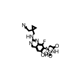 N#CCC1(CNc2ncc3cc(O)c(N4CC(=O)NS4(=O)=O)c(F)c3n2)CC1